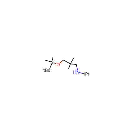 CC(C)NCC(C)(C)CO[Si](C)(C)C(C)(C)C